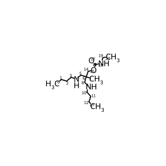 CCCCNCC(C)(CNCCCC)COC(=O)NCC